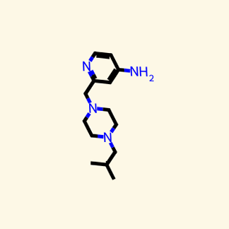 C[C](C)CN1CCN(Cc2cc(N)ccn2)CC1